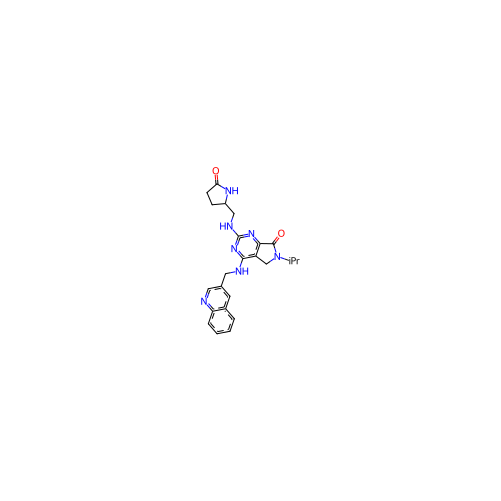 CC(C)N1Cc2c(NCc3cnc4ccccc4c3)nc(NCC3CCC(=O)N3)nc2C1=O